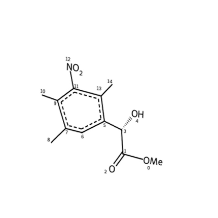 COC(=O)[C@@H](O)c1cc(C)c(C)c([N+](=O)[O-])c1C